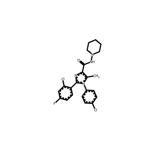 Cc1c(C(=O)NN2CCCCC2)nc(-c2ccc(F)cc2Cl)n1-c1ccc(Cl)cc1